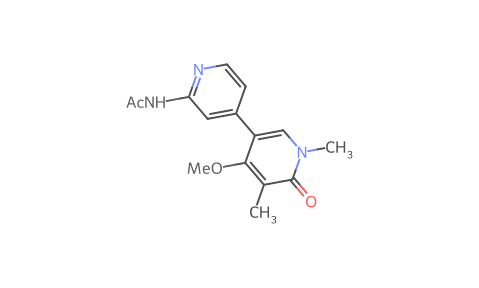 COc1c(-c2ccnc(NC(C)=O)c2)cn(C)c(=O)c1C